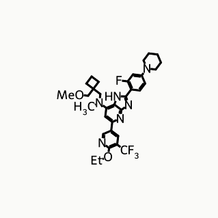 CCOc1ncc(-c2cc(N(C)CC3(COC)CCC3)c3[nH]c(-c4ccc(N5CCCCC5)cc4F)nc3n2)cc1C(F)(F)F